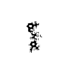 CC(O)(Cn1cc2cccc(C(F)(F)F)c2n1)C(=O)Nc1ccc(C#N)c(C(F)(F)F)c1